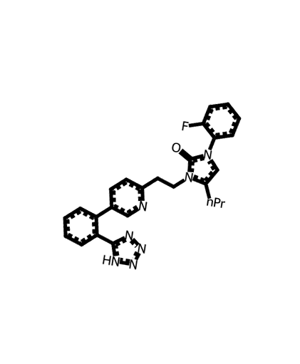 CCCc1cn(-c2ccccc2F)c(=O)n1CCc1ccc(-c2ccccc2-c2nnn[nH]2)cn1